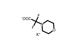 O=C([O-])C(F)(F)N1CCOCC1.[K+]